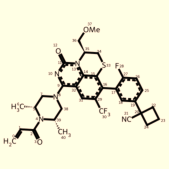 C=CC(=O)N1[C@H](C)CN(c2nc(=O)n3c4c(c(-c5cc(C6(C#N)CCC6)ccc5F)c(C(F)(F)F)cc24)SC[C@@H]3COC)C[C@@H]1C